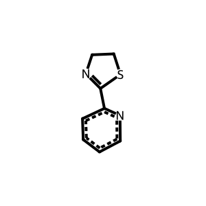 c1ccc(C2=NCCS2)nc1